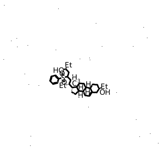 CC[C@H](O)CC(C[C@@H](CC)[C@H]1CC[C@H]2[C@@H]3CC=C4C[C@](O)(CC)CC[C@@H]4[C@H]3CC[C@]12C)S(=O)(=O)c1ccccc1